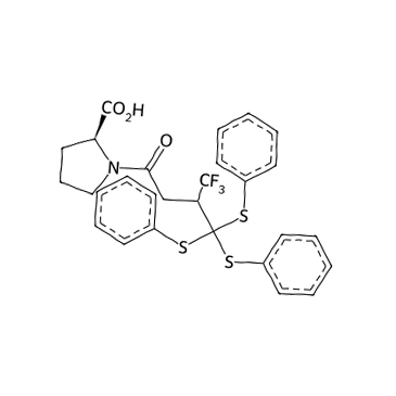 O=C(O)[C@@H]1CCCN1C(=O)CC(C(F)(F)F)C(Sc1ccccc1)(Sc1ccccc1)Sc1ccccc1